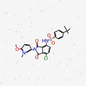 COc1ccc(N2C(=O)c3c(Cl)ccc(NS(=O)(=O)c4ccc(C(C)(C)C)cc4)c3C2=O)c[n+]1C